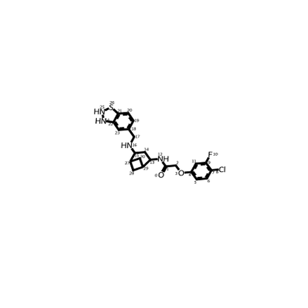 O=C(COc1ccc(Cl)c(F)c1)NC1CC(NCc2ccc3c(c2)NNS3)C2CC1C2